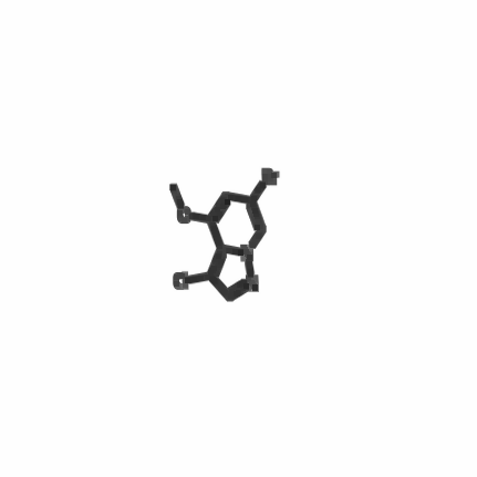 COc1cc(Br)cn2ncc(Cl)c12